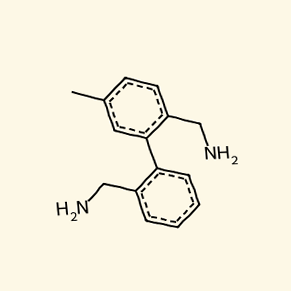 Cc1ccc(CN)c(-c2ccccc2CN)c1